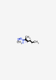 CCC/C=C(\C)N/N=N\C